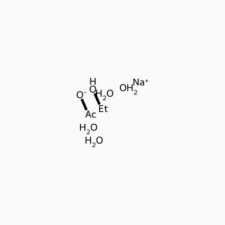 CC(=O)[O-].CCO.O.O.O.O.[Na+]